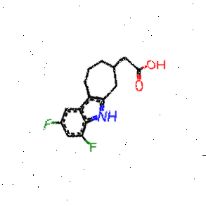 O=C(O)CC1CCCc2c([nH]c3c(F)cc(F)cc23)C1